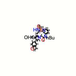 CCCCN(C(=O)CN1C[C@H](c2ccc3c(c2)CCO3)[C@@H](C=O)[C@@H]1CCNS(C)(=O)=O)c1cccnc1